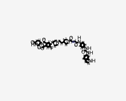 O=C(/C=C/C(=O)N1CCC(CCN2CCN(c3cc4c(cc3F)C(=O)N(C3CCC(=O)NC3=O)C4=O)CC2)CC1)Nc1ccc(NC(=O)Nc2ccc3cc[nH]c3c2)cc1